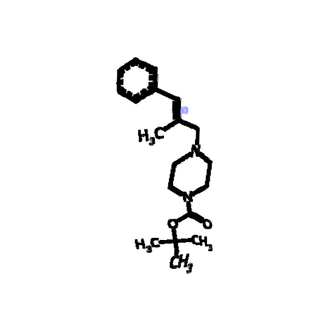 C/C(=C\c1ccccc1)CN1CCN(C(=O)OC(C)(C)C)CC1